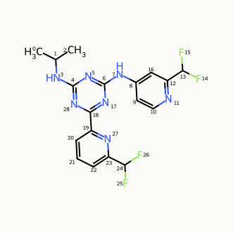 CC(C)Nc1nc(Nc2ccnc(C(F)F)c2)nc(-c2cccc(C(F)F)n2)n1